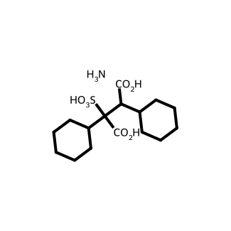 N.O=C(O)C(C1CCCCC1)C(C(=O)O)(C1CCCCC1)S(=O)(=O)O